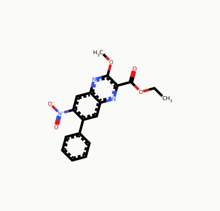 CCOC(=O)c1nc2cc(-c3ccccc3)c([N+](=O)[O-])cc2nc1OC